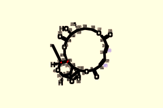 CC1=C[C@H]2O[C@@H]3C[C@H]4OC(=O)/C=C\C=C\C(=O)OCC[C@@H](C)[C@H](O)C(=O)OC[C@@]2(CC1)[C@]4(C)[C@]31CO1